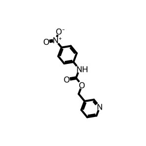 O=C(Nc1ccc([N+](=O)[O-])cc1)OCc1cccnc1